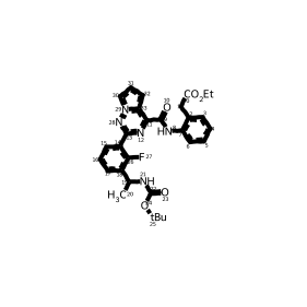 CCOC(=O)Cc1ccccc1NC(=O)c1nc(-c2cccc(C(C)NC(=O)OC(C)(C)C)c2F)nn2cccc12